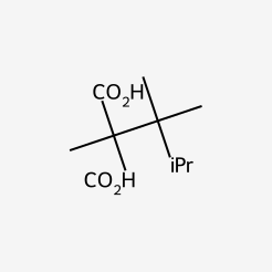 CC(C)C(C)(C)C(C)(C(=O)O)C(=O)O